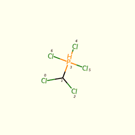 ClC(Cl)[PH](Cl)(Cl)Cl